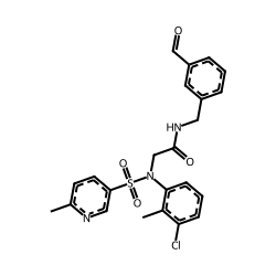 Cc1ccc(S(=O)(=O)N(CC(=O)NCc2cccc(C=O)c2)c2cccc(Cl)c2C)cn1